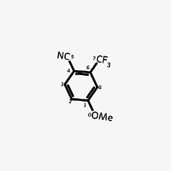 COc1ccc(C#N)c(C(F)(F)F)c1